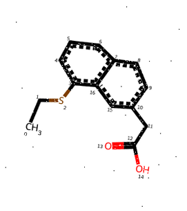 CCSc1cccc2ccc(CC(=O)O)cc12